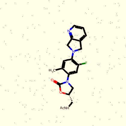 CC(=O)NC[C@H]1CN(c2cc(F)c(N3Cc4cccnc4C3)cc2C)C(=O)O1